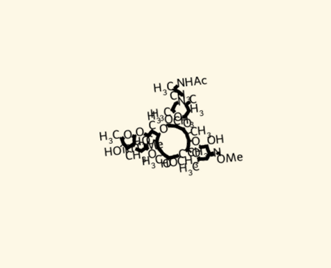 CO/N=C1\C[C@@H](C)O[C@@H](O[C@@H]2[C@@H](C)[C@H](O[C@H]3CC(C)N(CC(C)(C)NC(C)=O)C[C@H](C)O3)[C@@H](C)C(=O)O[C@H]([C@@H](C)CO[C@@H]3O[C@H](C)[C@@H](O)[C@@H](C)[C@H]3OC)[C@H](C)[C@@H](OC(=O)CC(C)C)[C@@H](C)C(=O)[C@@](C)(O)C[C@@H]2C)[C@@H]1O